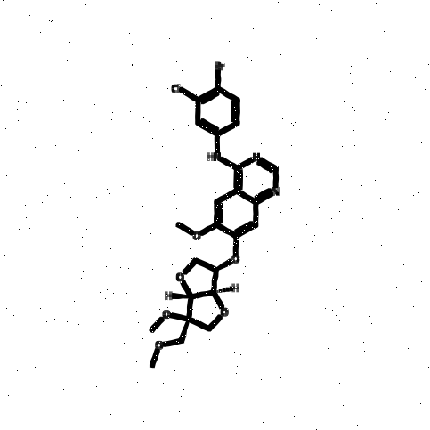 COC[C@]1(OC)CO[C@H]2[C@H]1OC[C@H]2Oc1cc2ncnc(Nc3ccc(Br)c(Cl)c3)c2cc1OC